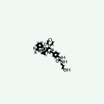 C[C@H]1COCCN1c1cc(C2(S(=O)(=O)c3ccccc3C(F)(F)F)CC2)nc(-c2ccc(NC(=O)NCCCO)cc2)n1